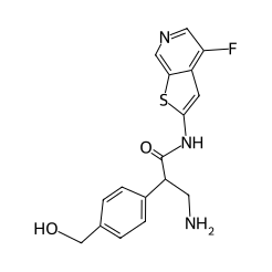 NCC(C(=O)Nc1cc2c(F)cncc2s1)c1ccc(CO)cc1